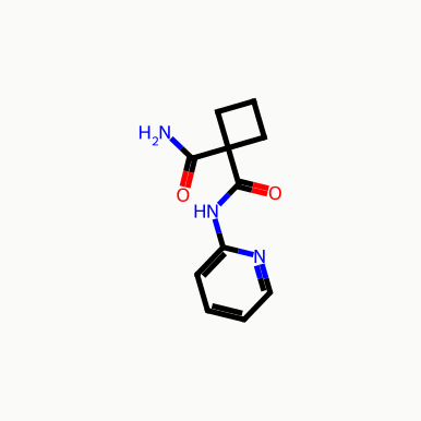 NC(=O)C1(C(=O)Nc2ccccn2)CCC1